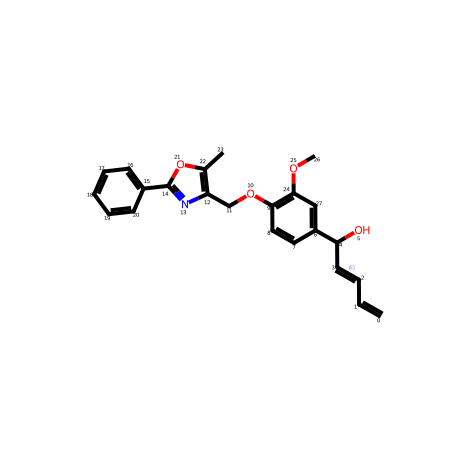 C=C/C=C/C(O)c1ccc(OCc2nc(-c3ccccc3)oc2C)c(OC)c1